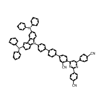 N#Cc1ccc(-c2cc(-c3ccc(-c4ccc(-c5ccc(-n6c7ccc(N(c8ccccc8)c8ccccc8)cc7c7cc(N(c8ccccc8)c8ccccc8)ccc76)cc5)cc4)cc3C#N)nc(-c3ccc(C#N)cc3)n2)cc1